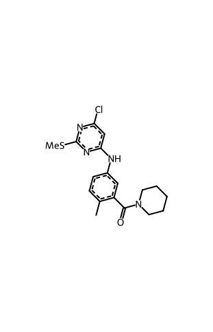 CSc1nc(Cl)cc(Nc2ccc(C)c(C(=O)N3CCCCC3)c2)n1